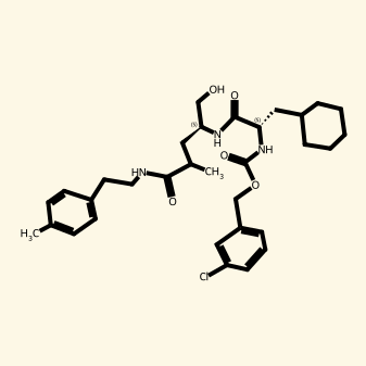 Cc1ccc(CCNC(=O)C(C)C[C@@H](CO)NC(=O)[C@H](CC2CCCCC2)NC(=O)OCc2cccc(Cl)c2)cc1